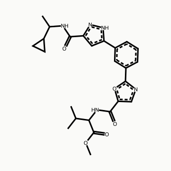 COC(=O)C(NC(=O)c1cnc(-c2cccc(-c3cc(C(=O)NC(C)C4CC4)n[nH]3)c2)o1)C(C)C